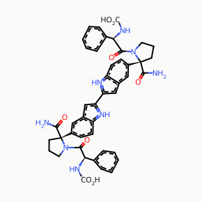 NC(=O)[C@@]1(c2ccc3[nH]c(-c4cc5cc([C@]6(C(N)=O)CCCN6C(=O)[C@H](NC(=O)O)c6ccccc6)ccc5[nH]4)cc3c2)CCCN1C(=O)[C@H](NC(=O)O)c1ccccc1